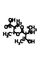 CN[C@H](C(=O)O[C@H](C)[C@H](N)C(=O)O)[C@@H](C)O